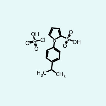 CC(C)c1ccc(-n2cccc2S(=O)(=O)O)cc1.O=S(=O)(O)Cl